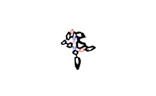 c1ccc(-c2ccc(N3c4ccc(-c5ccccc5)cc4B4c5c(cc6c(oc7ccccc76)c53)-c3cccc5c3N4C3c4ccccc4OC53)cc2)cc1